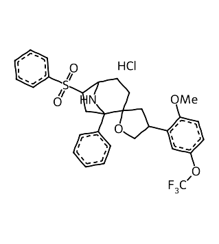 COc1ccc(OC(F)(F)F)cc1C1COC2(CCC3NC2(c2ccccc2)CC3S(=O)(=O)c2ccccc2)C1.Cl